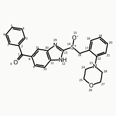 O=C(c1ccccc1)c1ccc2[nH]c([S+]([O-])Cc3ccccc3N3CCOCC3)nc2c1